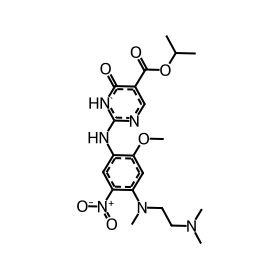 COc1cc(N(C)CCN(C)C)c([N+](=O)[O-])cc1Nc1ncc(C(=O)OC(C)C)c(=O)[nH]1